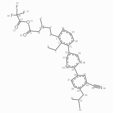 CCc1c(CCN(C)CC(=O)OC(=O)C(F)(F)F)cccc1-c1cnc(-c2ccc(CC(C)C)c(C#N)c2)nc1